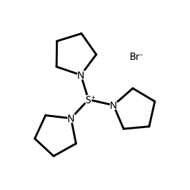 C1CCN([S+](N2CCCC2)N2CCCC2)C1.[Br-]